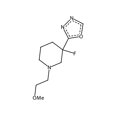 COCCN1CCCC(F)(c2nnco2)C1